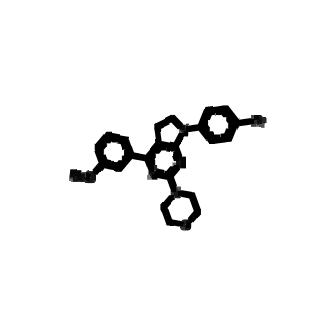 COc1cccc(-c2nc(N3CCOCC3)nc3c2CCN3c2ccc(C(C)C)cc2)c1